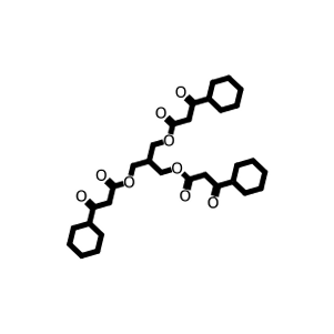 O=C(CC(=O)C1CCCCC1)OCC(COC(=O)CC(=O)C1CCCCC1)COC(=O)CC(=O)C1CCCCC1